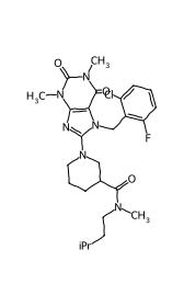 CC(C)CCN(C)C(=O)C1CCCN(c2nc3c(c(=O)n(C)c(=O)n3C)n2Cc2c(F)cccc2Cl)C1